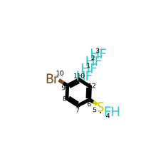 F.F.F.F.F.[S]c1ccc(Br)cc1